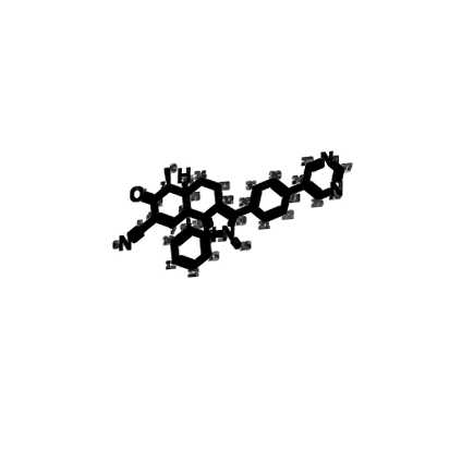 C[C@@H]1C(=O)C(C#N)=C[C@]2(c3ccccc3)c3nn(C)c(-c4ccc(-c5cncnc5)cc4)c3CC[C@@H]12